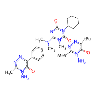 CN(C)c1nc(=O)n(C2CCCCC2)c(=O)n1C.CSc1nnc(C(C)(C)C)c(=O)n1N.Cc1nnc(-c2ccccc2)c(=O)n1N